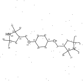 CN1C(C)(C)CC(COC2CCC(OCC3CC(C)(C)NC3(C)C)CC2)C1(C)C